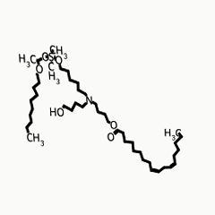 CCCCC/C=C\C/C=C\CCCCCCCC(=O)OCCCCN(CCCCO)CCCCCCO[Si](C)(C)OC(C)OCCCCCCCCCC